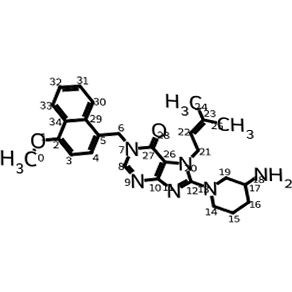 COc1ccc(Cn2cnc3nc(N4CCCC(N)C4)n(CC=C(C)C)c3c2=O)c2ccccc12